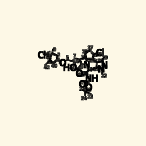 Cc1cc(OCCCc2c(C(=O)O)n(C[C@@H](C)NC(=O)OC(C)(C)C)c3c(-c4c(C)nn(C)c4C)c(Cl)ccc23)cc(C)c1Cl